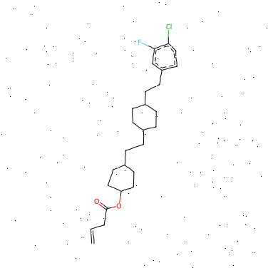 C=CCC(=O)OC1CCC(CCC2CCC(CCc3ccc(Cl)c(F)c3)CC2)CC1